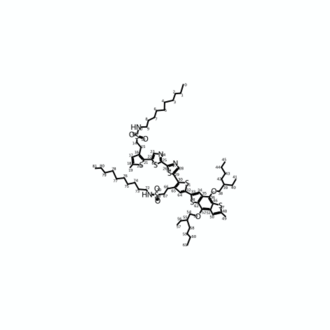 CCCCCCCCCCNS(=O)(=O)CCc1cc(C)sc1-c1cnc(-c2ncc(-c3sc(-c4cc5c(OCC(CC)CCCC)c6sc(C)cc6c(OCC(CC)CCCC)c5s4)cc3CCS(=O)(=O)NCCCCCCCCCC)s2)s1